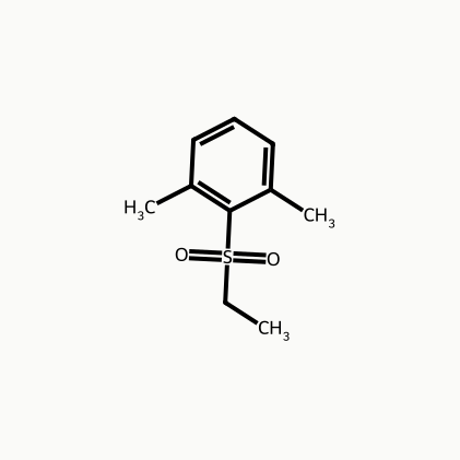 CCS(=O)(=O)c1c(C)cccc1C